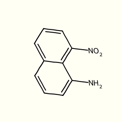 Nc1cccc2cccc([N+](=O)[O-])c12